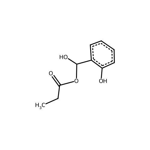 CCC(=O)OC(O)c1ccccc1O